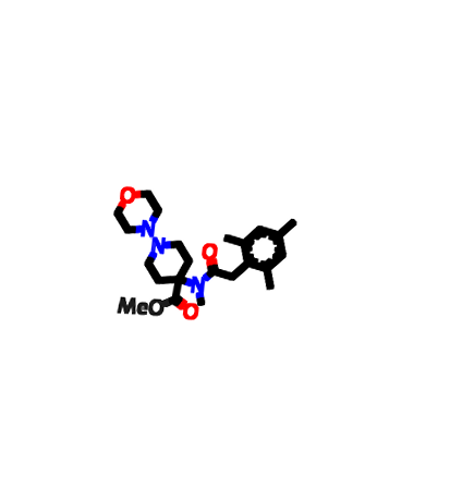 COC(=O)C1(N(C)C(=O)Cc2c(C)cc(C)cc2C)CCN(N2CCOCC2)CC1